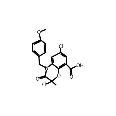 COc1ccc(CN2C(=O)C(C)(Cl)Oc3c(C(=O)O)cc(Cl)cc32)cc1